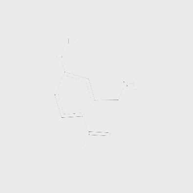 CCC(=O)c1ccc(OC(C)C)cc1CN